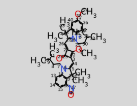 COC1=C(/C=C2\N(CCC(C)C)c3cccc(N=O)c3C2(C)C)C(=O)/C1=C/C1=[N+](CCC(C)C)c2ccc(OC)cc2C1(C)C